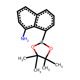 CC1(C)OB(c2cccc3cccc(N)c23)OC1(C)C